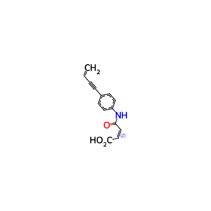 C=CC#Cc1ccc(NC(=O)/C=C\C(=O)O)cc1